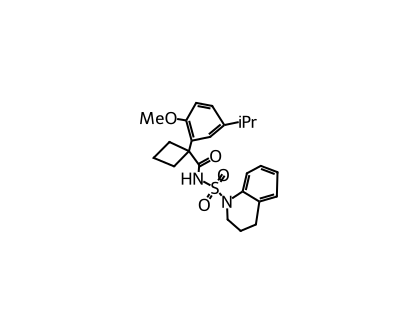 COc1ccc(C(C)C)cc1C1(C(=O)NS(=O)(=O)N2CCCc3ccccc32)CCC1